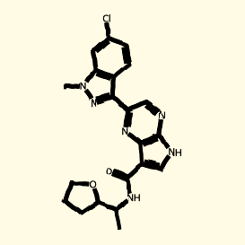 CC(NC(=O)c1c[nH]c2ncc(-c3nn(C)c4cc(Cl)ccc34)nc12)C1CCCO1